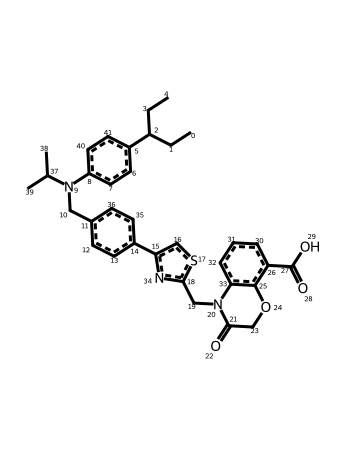 CCC(CC)c1ccc(N(Cc2ccc(-c3csc(CN4C(=O)COc5c(C(=O)O)cccc54)n3)cc2)C(C)C)cc1